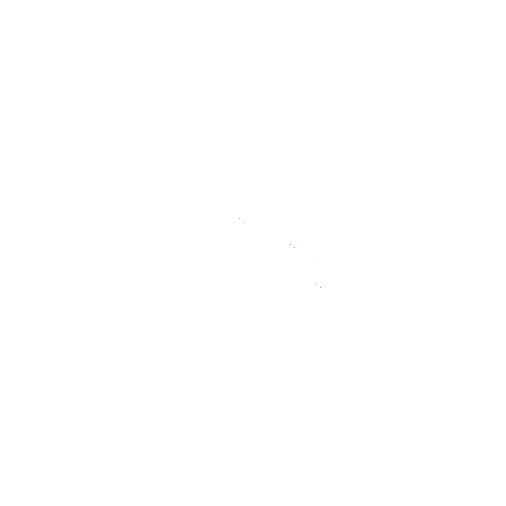 CN(CCc1ccccc1)C(=O)NCC1Cc2ccc(O)cc2CN1